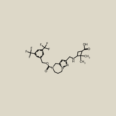 CC1(C)C(NCc2cc3n(n2)CCCN(C(=O)OCc2cc(C(F)(F)F)cc(C(F)(F)F)c2)C3)CC1C(=O)O